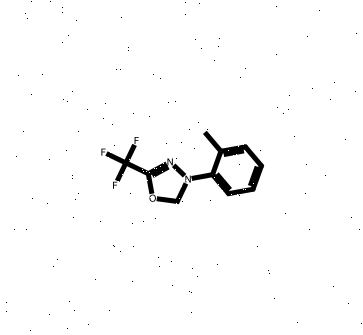 Cc1ccccc1N1COC(C(F)(F)F)=N1